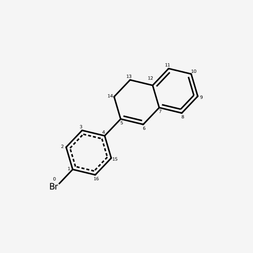 Brc1ccc(C2=CC3=C=C=CC=C3CC2)cc1